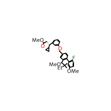 CCC(C)(C)[C@@H](OC)c1cc(COc2cccc([C@@H](CC(=O)OC)C3CC3)c2)ccc1-c1cc(OC)ccc1F